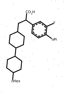 CCCCCCC1CCC(C2CCC(CC(C(=O)O)c3ccc(CCC)c(F)c3)CC2)CC1